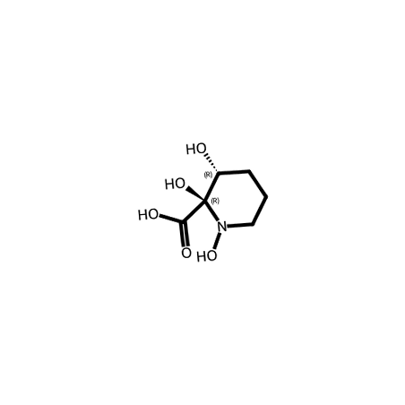 O=C(O)[C@]1(O)[C@H](O)CCCN1O